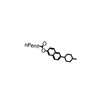 CCCCCC(=O)Oc1ccc2cc(C3CCC(C)CC3)ccc2c1